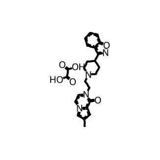 Cc1cc2c(=O)n(CCN3CCC(c4noc5ccccc45)CC3)ccn2c1.O=C(O)C(=O)O